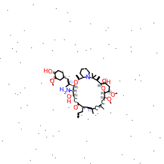 C=CC[C@@H]1/C=C(\C)C[C@H](C)C[C@H](OC)[C@@]2(C)O[C@@](O)(C(=C)C(C)(C)N3CCCCC3C(=C)O[C@H](/C(C)=C/[C@@H]3CC[C@@H](O)[C@H](OC)C3)[C@H](N)[C@@H](O)CC1=O)[C@H](C)C[C@@H]2OC